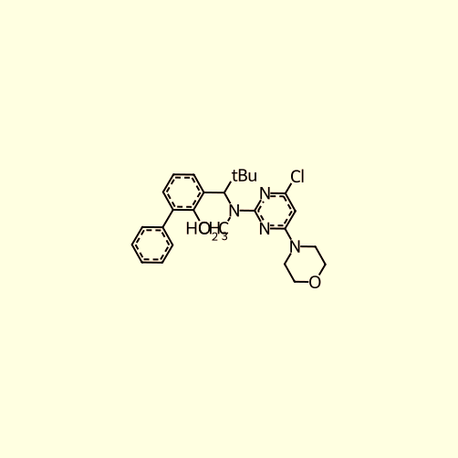 Cc1c(-c2ccccc2)cccc1C(N(C(=O)O)c1nc(Cl)cc(N2CCOCC2)n1)C(C)(C)C